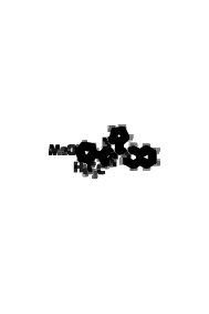 COc1ccc(-c2c(C)nn3c(N4CCc5ccccc5C4)c4c(nc23)CCC4)c(C)c1